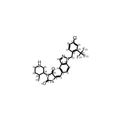 O=C1SC(=Cc2ccc3c(cnn3Cc3ccc(Cl)cc3C(F)(F)F)c2)C(=O)N1C1CNCCC1F